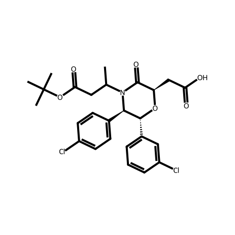 CC(CC(=O)OC(C)(C)C)N1C(=O)[C@@H](CC(=O)O)O[C@H](c2cccc(Cl)c2)[C@H]1c1ccc(Cl)cc1